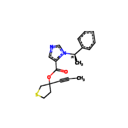 CC#CC1(OC(=O)c2cncn2[C@H](C)c2ccccc2)CCSC1